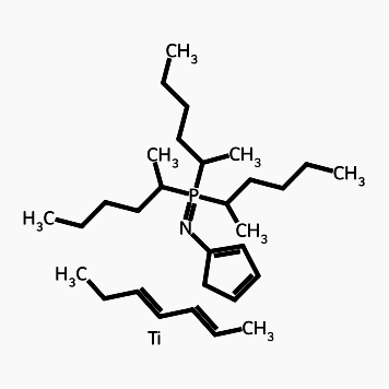 CC=CC=CCC.CCCCC(C)P(=NC1=CC=CC1)(C(C)CCCC)C(C)CCCC.[Ti]